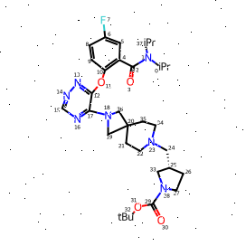 CC(C)N(C(=O)c1cc(F)ccc1Oc1nncnc1N1CC2(CCN(C[C@@H]3CCN(C(=O)OC(C)(C)C)C3)CC2)C1)C(C)C